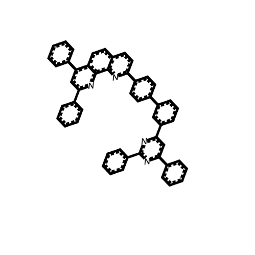 c1ccc(-c2cc(-c3cccc(-c4ccc(-c5ccc6ccc7c(-c8ccccc8)cc(-c8ccccc8)nc7c6n5)cc4)c3)nc(-c3ccccc3)n2)cc1